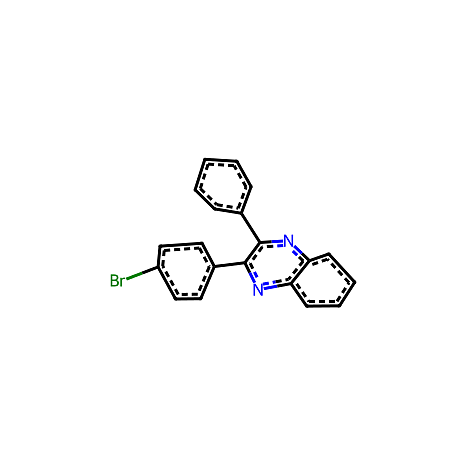 Brc1ccc(-c2nc3ccccc3nc2-c2ccccc2)cc1